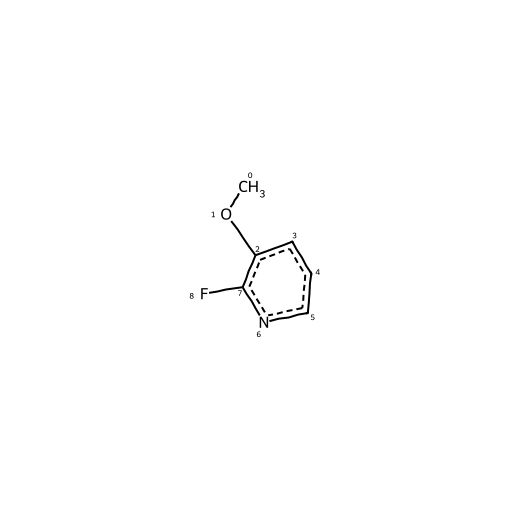 COc1cccnc1F